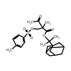 CC(=O)C(C)(COS(=O)(=O)c1ccc(C)cc1)C(=O)OC(C)(C)C12CC3CC(CC(C3)C1)C2